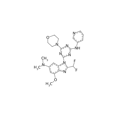 COc1cc(N(C)C)cc2c1nc(C(F)F)n2-c1nc(Nc2cccnc2)nc(N2CCOCC2)n1